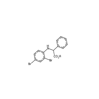 O=C(O)C(Nc1ccc(Br)cc1Br)c1ccccc1